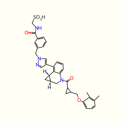 Cc1cccc(OCC2CC2C(=O)N2C[C@@H]3C[C@@H]3c3c(-c4cnn(Cc5cccc(C(=O)NCS(=O)(=O)O)c5)c4)cccc32)c1C